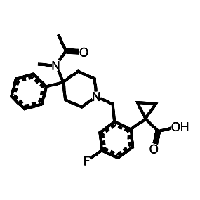 CC(=O)N(C)C1(c2ccccc2)CCN(Cc2cc(F)ccc2C2(C(=O)O)CC2)CC1